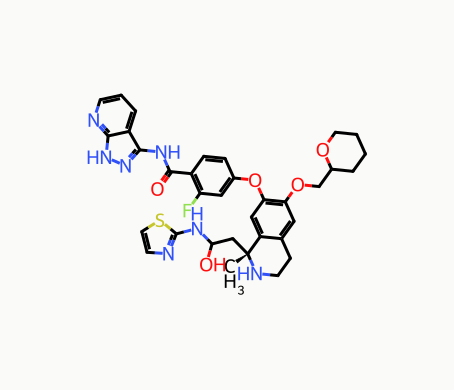 C[C@]1(CC(O)Nc2nccs2)NCCc2cc(OCC3CCCCO3)c(Oc3ccc(C(=O)Nc4n[nH]c5ncccc45)c(F)c3)cc21